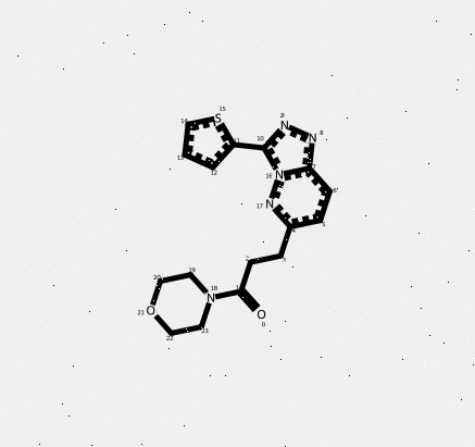 O=C(CCc1ccc2nnc(-c3cccs3)n2n1)N1CCOCC1